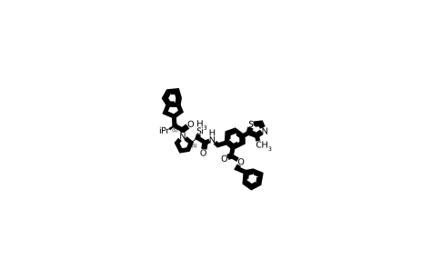 Cc1ncsc1-c1ccc(CNC(=O)C([SiH3])[C@@H]2CCCN2C(=O)[C@@H](C(C)C)C2Cc3ccccc3C2)c(C(=O)OCc2ccccc2)c1